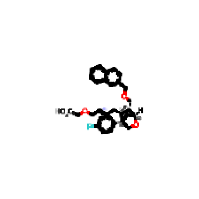 O=C(O)COC/C=C/C[C@H]1[C@H](COCc2ccc3ccccc3c2)[C@@H]2C[C@@]1(c1ccc(F)cc1)CO2